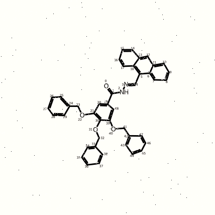 O=C(N/N=C/c1c2ccccc2cc2ccccc12)c1cc(OCc2ccccc2)c(OCc2ccccc2)c(OCc2ccccc2)c1